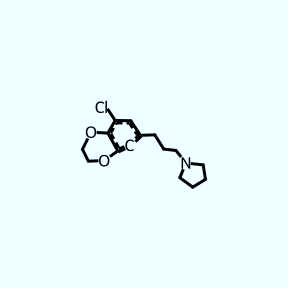 Clc1cc(CCCN2CCCC2)cc2c1OCCO2